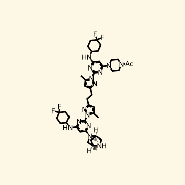 CC(=O)N1CCN(c2cc(NC3CCC(F)(F)CC3)nc(-n3nc(CCc4cc(C)n(-c5nc(NC6CCC(F)(F)CC6)cc(N6C[C@H]7C[C@@H]6CN7)n5)n4)cc3C)n2)CC1